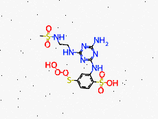 CS(=O)(=O)NCCNc1nc(N)nc(Nc2cc(SOOO)ccc2S(=O)(=O)O)n1